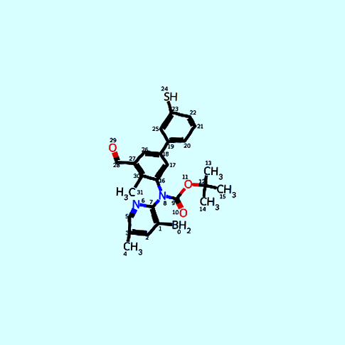 Bc1cc(C)cnc1N(C(=O)OC(C)(C)C)c1cc(-c2cccc(S)c2)cc(C=O)c1C